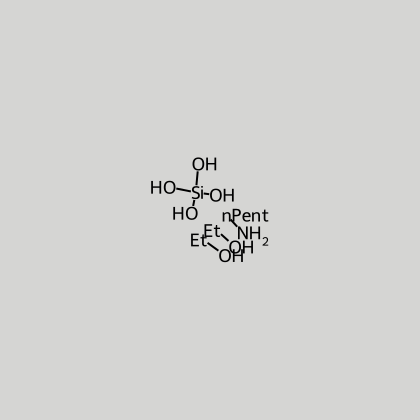 CCCCCN.CCO.CCO.O[Si](O)(O)O